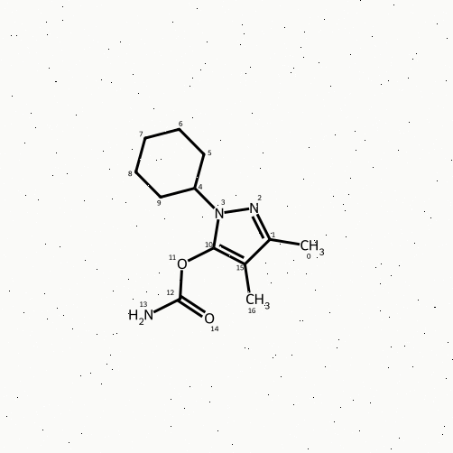 Cc1nn(C2CCCCC2)c(OC(N)=O)c1C